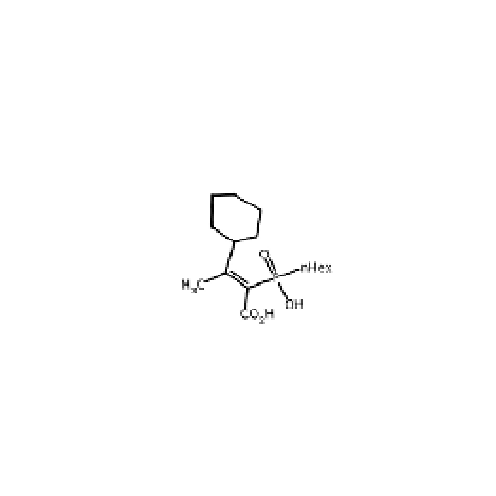 CCCCCCP(=O)(O)C(C(=O)O)=C(C)C1CCCCC1